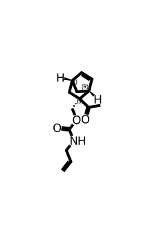 C=CCNC(=O)OC[C@]1(C(C)=O)C[C@@H]2C=C[C@H]1C2